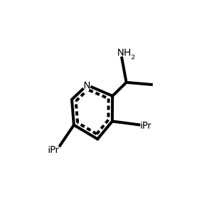 CC(C)c1cnc(C(C)N)c(C(C)C)c1